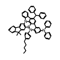 CCCCCc1ccc(N2B3c4cc5c(cc4-n4c6ccccc6c6c(C(c7ccccc7)c7ccccc7)cc(c3c64)-c3cc(N(c4ccccc4)c4ccccc4)ccc32)-c2ccccc2C5(C)C)cc1